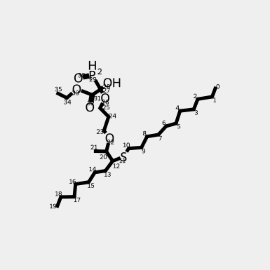 CCCCCCCCCCCSC(CCCCCCC)C(C)OCCCOC(O)([PH2]=O)C(=O)OCC